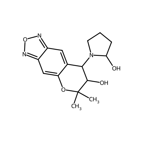 CC1(C)Oc2cc3nonc3cc2C(N2CCCC2O)C1O